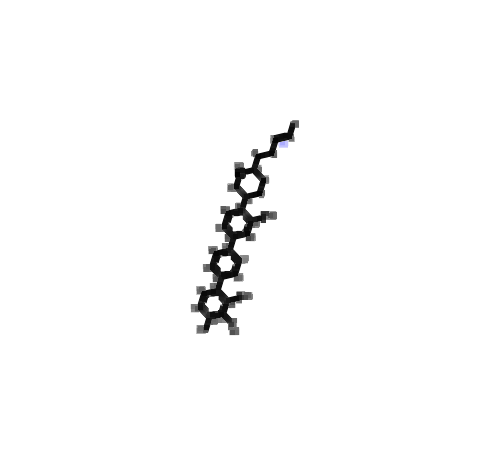 C/C=C/CCC1CCC(c2ccc(-c3ccc(-c4ccc(C)c(F)c4F)cc3)cc2F)CO1